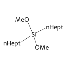 CCCCCCC[Si](CCCCCCC)(OC)OC